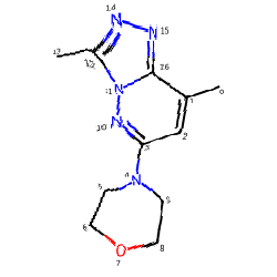 Cc1cc(N2CCOCC2)nn2c(C)nnc12